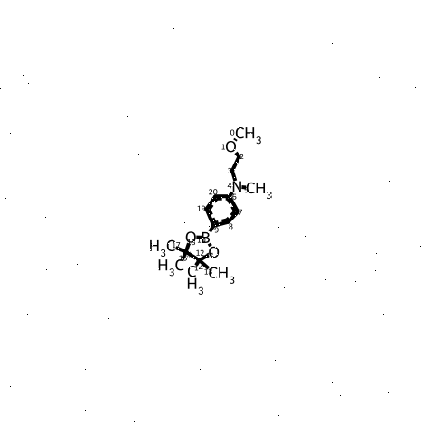 COCCN(C)c1ccc(B2OC(C)(C)C(C)(C)O2)cc1